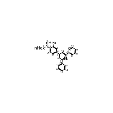 CCCCCCN(CCCCCC)c1ccc(-c2cc(-c3ccccc3)nc(-c3ccccn3)c2)cc1